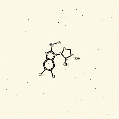 CC(C)Nc1nc2cc(Cl)c(Cl)cc2n1[C@H]1OC[C@H](O)[C@H]1O